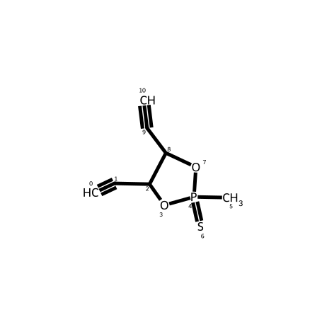 C#CC1OP(C)(=S)OC1C#C